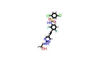 C[C@H](O)CNc1ncc(C#Cc2c(F)ccc(NS(=O)(=O)c3cc(Cl)ccc3Cl)c2F)cn1